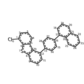 Clc1cccc2c1sc1cccc(-c3ccc(-c4cccc5ccccc45)cc3)c12